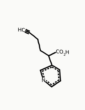 C#CCCC(C(=O)O)c1cccnc1